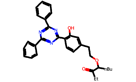 CCCCC(OCCc1ccc(-c2nc(-c3ccccc3)nc(-c3ccccc3)n2)c(O)c1)C(=O)CC